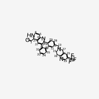 O=CC1NC=Cc2nc(-c3ccc(CN4CCc5ncc(C(F)(F)F)cc5C4)cc3)c(-c3ccccc3)cc21